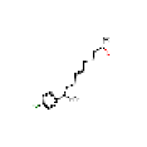 CCCC(CC/C=C/CCC[C@@H](O)C(C)=O)c1ccc(F)cc1